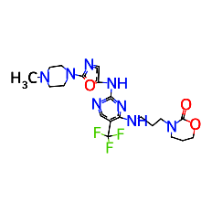 CN1CCN(c2ncc(Nc3ncc(C(F)(F)F)c(NCCCN4CCCOC4=O)n3)o2)CC1